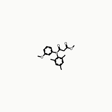 COC(=O)CC(=O)N(c1cccc(OC)c1)c1c(C)cc(C)cc1C